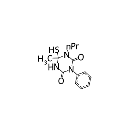 CCCN1C(=O)N(c2ccccc2)C(=O)NC1(C)S